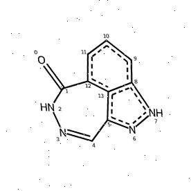 O=C1NN=Cc2n[nH]c3cccc1c23